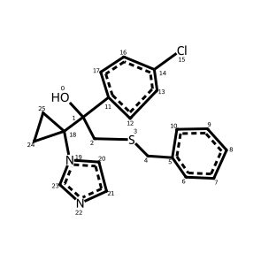 OC(CSCc1ccccc1)(c1ccc(Cl)cc1)C1(n2ccnc2)CC1